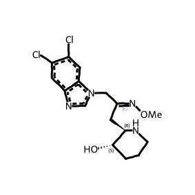 CO/N=C(\C[C@H]1NCCC[C@@H]1O)Cn1cnc2cc(Cl)c(Cl)cc21